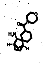 N[C@@H]1[C@@H]2CC[C@@H](C2)C12CCCC(C(=O)N1CCOCC1)C2